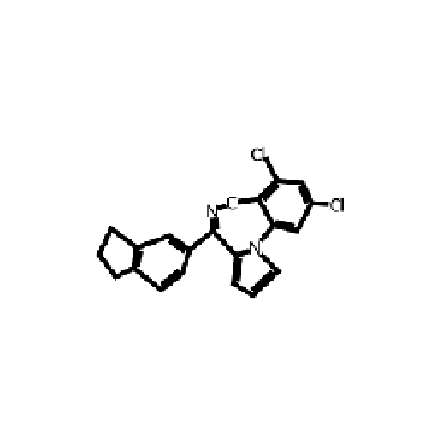 Clc1cc(Cl)c2c(c1)-n1cccc1C(c1ccc3c(c1)CCC3)=NC2